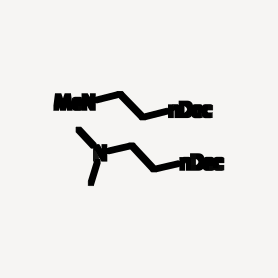 CCCCCCCCCCCCN(C)C.CCCCCCCCCCCCNC